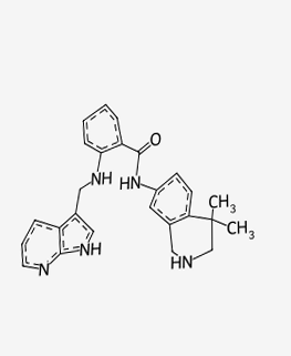 CC1(C)CNCc2cc(NC(=O)c3ccccc3NCc3c[nH]c4ncccc34)ccc21